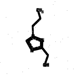 CCCn1cnc(CO)n1